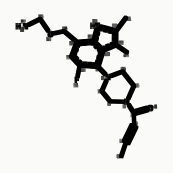 CC#CC(=O)N1CCN(c2c(F)cc(COCN)c3[nH]c(C)c(C)c23)CC1